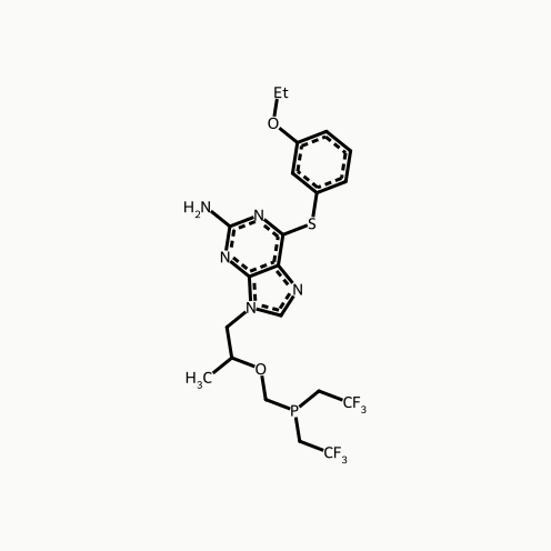 CCOc1cccc(Sc2nc(N)nc3c2ncn3CC(C)OCP(CC(F)(F)F)CC(F)(F)F)c1